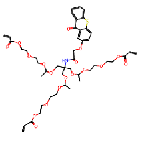 C=CC(=O)OCCOCCOC(C)OCC(COC(C)OCCOCCOC(=O)C=C)(COC(C)OCCOCCOC(=O)C=C)NC(=O)COc1ccc2sc3ccccc3c(=O)c2c1